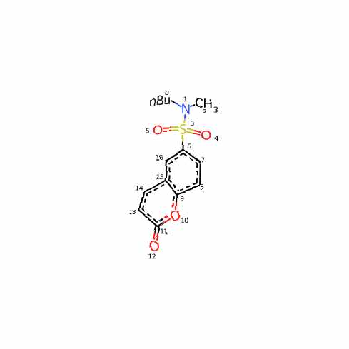 CCCCN(C)S(=O)(=O)c1ccc2oc(=O)ccc2c1